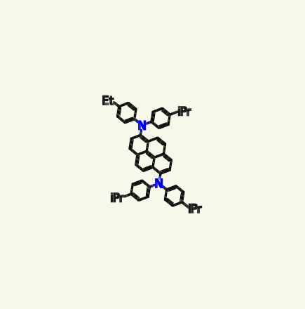 CCc1ccc(N(c2ccc(C(C)C)cc2)c2ccc3ccc4c(N(c5ccc(C(C)C)cc5)c5ccc(C(C)C)cc5)ccc5ccc2c3c54)cc1